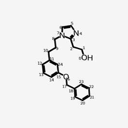 OCCc1nccn1CCCc1cccc(OCc2ccccc2)c1